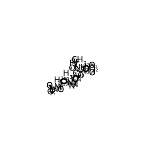 C[C@H](NC(=O)C(C)(F)F)[C@H](Oc1ccc2c(cnn2-c2cccc(C(=O)N[C@@H]3CCOC3=O)c2)c1)c1ccc2c(c1)OCCO2